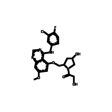 COc1cc(OCC2CC(O)CN2C(=O)CO)c2c(Nc3ccc(F)c(Cl)c3)ncnc2c1